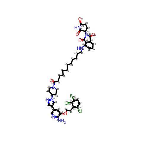 Nc1ncc(-c2cnn(C3CCN(C(=O)CCCCCCCCCCCNc4cccc5c4C(=O)N([C@@H]4CCC(=O)NC4=O)C5=O)CC3)c2)cc1OCCc1c(Cl)ccc(F)c1Cl